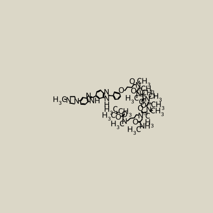 CNC(=O)CN(CCCCN(C)C(=O)OC(C)(C)C)C(=O)[C@H](C)N(C)C(=O)[C@H](C)N(C)C(=O)[C@H](C)N(C)C(=O)[C@H](C)N(C)C(=O)CCCOc1cccc(-c2nc3ccc(-c4nc5cc(N6CCN(C)CC6)ccc5[nH]4)cc3[nH]2)c1